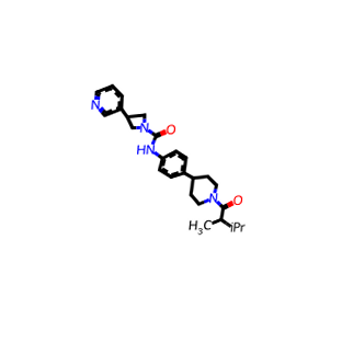 CC(C)C(C)C(=O)N1CCC(c2ccc(NC(=O)N3CC(c4cccnc4)C3)cc2)CC1